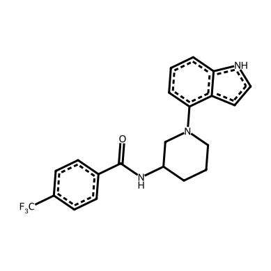 O=C(NC1CCCN(c2cccc3[nH]ccc23)C1)c1ccc(C(F)(F)F)cc1